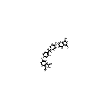 CC(C)(c1ccc(Oc2ccc3c(c2)C(=O)NC3=O)cc1)c1ccc(Oc2ccc3c(c2)C(=O)OC3=O)cc1